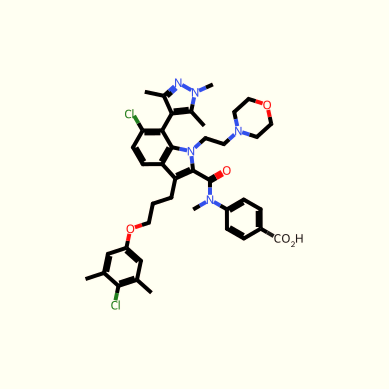 Cc1cc(OCCCc2c(C(=O)N(C)c3ccc(C(=O)O)cc3)n(CCN3CCOCC3)c3c(-c4c(C)nn(C)c4C)c(Cl)ccc23)cc(C)c1Cl